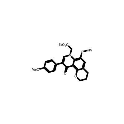 CCCOc1cc2c(c3c(=O)c(-c4ccc(OC)cc4)cn(CC(=O)OCC)c13)OCCC2